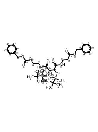 CC(C)(C)[Si](C)(C)OC(C(=O)NCCC(=O)OCc1ccccc1)[C@@H](O[Si](C)(C)C(C)(C)C)C(=O)NCCNC(=O)OCc1ccccc1